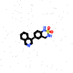 O=S1(=O)NCc2cc(-c3cncc4ccccc34)ccc2N1